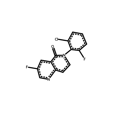 O=c1c2cc(F)cnc2ccn1-c1c(F)cccc1Cl